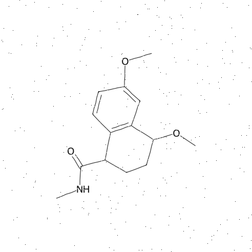 CNC(=O)C1CCC(OC)c2cc(OC)ccc21